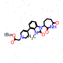 Cn1c(=O)n(C2CCCC(=O)NC2=O)c2cccc(C3=CCN(CC(=O)OC(C)(C)C)CC3)c21